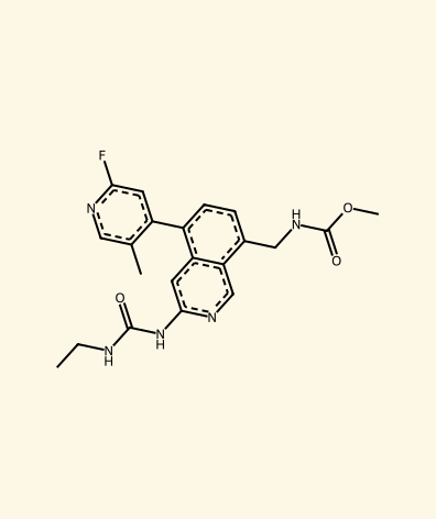 CCNC(=O)Nc1cc2c(-c3cc(F)ncc3C)ccc(CNC(=O)OC)c2cn1